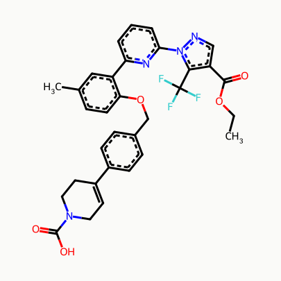 CCOC(=O)c1cnn(-c2cccc(-c3cc(C)ccc3OCc3ccc(C4=CCN(C(=O)O)CC4)cc3)n2)c1C(F)(F)F